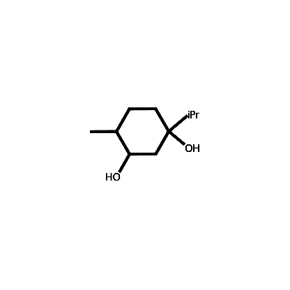 CC1CCC(O)(C(C)C)CC1O